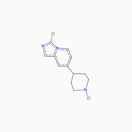 Clc1ncc2cc(C3CCN(Cl)CC3)ccn12